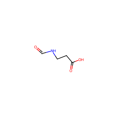 O=[C]NCCC(=O)O